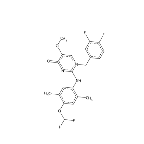 COc1cn(Cc2ccc(F)c(F)c2)c(Nc2cc(C)c(OC(F)F)cc2C)nc1=O